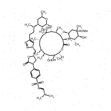 CC[C@H]1OC(=O)[C@H](C)[C@@H](O[C@H]2C[C@@](C)(OC)[C@@H](O)[C@H](C)O2)[C@H](C)[C@@H](O[C@@H]2O[C@H](C)C[C@H](N(C)CCc3cn(C[C@H]4CN(c5ccc(S(=O)(=O)N=CN(C)C)cc5)C(=O)O4)nn3)[C@H]2O)[C@](C)(O)C[C@@H](C)CN(C)[C@H](C)[C@@H](O)[C@]1(C)O